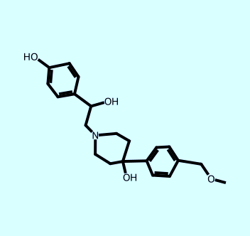 COCc1ccc(C2(O)CCN(CC(O)c3ccc(O)cc3)CC2)cc1